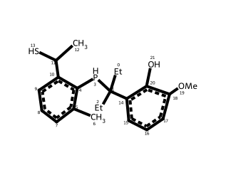 CCC(CC)(Pc1c(C)cccc1C(C)S)c1cccc(OC)c1O